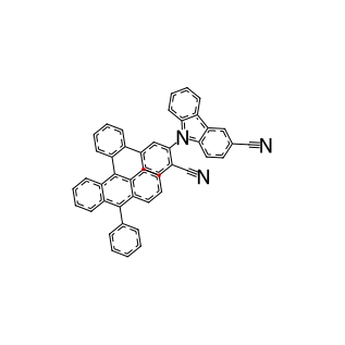 N#Cc1ccc2c(c1)c1ccccc1n2-c1cc(-c2ccccc2-c2c3ccccc3c(-c3ccccc3)c3ccccc23)ccc1C#N